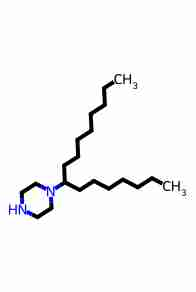 CCCCCCCCC(CCCCCCC)N1CCNCC1